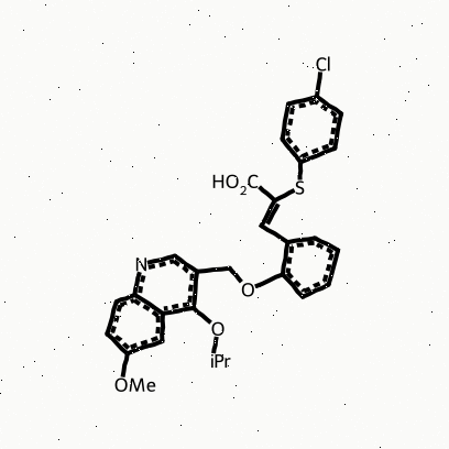 COc1ccc2ncc(COc3ccccc3C=C(Sc3ccc(Cl)cc3)C(=O)O)c(OC(C)C)c2c1